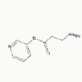 CCCCCCCCCC(=O)Oc1cccnc1